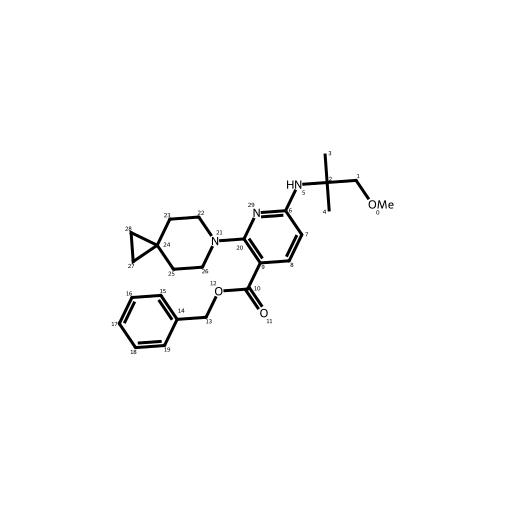 COCC(C)(C)Nc1ccc(C(=O)OCc2ccccc2)c(N2CCC3(CC2)CC3)n1